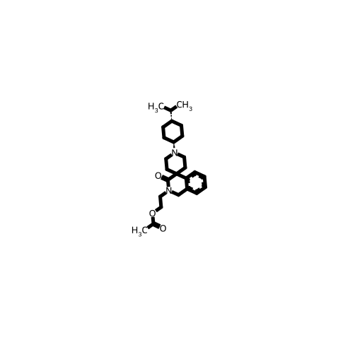 CC(=O)OCCN1Cc2ccccc2C2(CCN([C@H]3CC[C@@H](C(C)C)CC3)CC2)C1=O